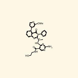 COc1cc(-c2cccc3nc([C@@H](C)Nc4nc(N)ncc4C(=O)NCCO)n(-c4ccccc4)c(=O)c23)ccn1